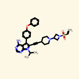 C=CS(=O)(=O)N1CC(N2CCC(C#Cc3c(-c4ccc(Oc5ccccc5)cc4)c4c(N)ncnc4n3C(C)C)CC2)C1